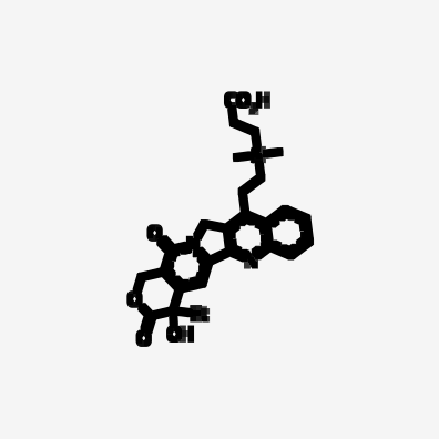 CCC1(O)C(=O)OCc2c1cc1n(c2=O)Cc2c-1nc1ccccc1c2CC[Si](C)(C)CCC(=O)O